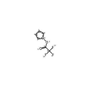 O=C(On1cccc1)C(F)(F)F